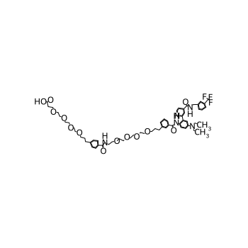 CCN(CC)c1ccc(NC(=O)c2cccc(CCCOCCOCCOCCOCCNC(=O)c3ccc(CCCOCCOCCOCCOCCC(=O)O)cc3)c2)c(-c2cc(C(=O)NCc3cccc(C(F)(F)F)c3)ccn2)c1